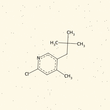 Cc1cc(Cl)ncc1CC(C)(C)C